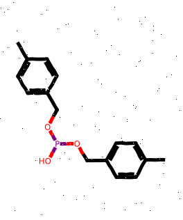 Cc1ccc(COP(O)OCc2ccc(C)cc2)cc1